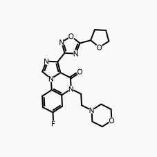 O=c1c2c(-c3noc(C4CCCO4)n3)ncn2c2ccc(F)cc2n1CCN1CCOCC1